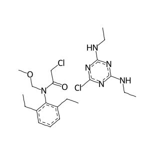 CCNc1nc(Cl)nc(NCC)n1.CCc1cccc(CC)c1N(COC)C(=O)CCl